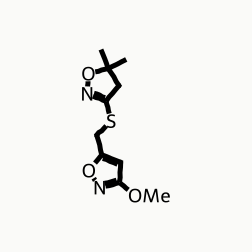 COc1cc(CSC2=NOC(C)(C)C2)on1